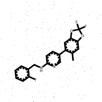 Cc1cc2c(cc1-c1ccc(NCc3ccccc3F)nc1)OC(F)(F)O2